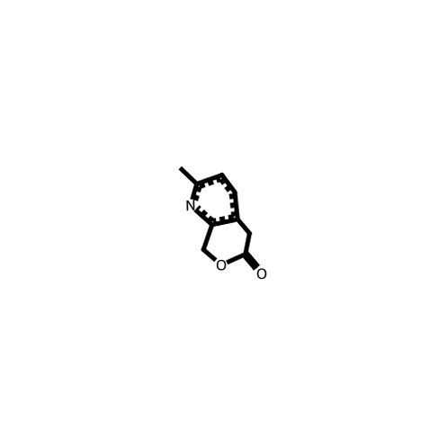 Cc1ccc2c(n1)COC(=O)C2